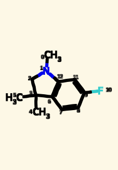 CN1CC(C)(C)c2ccc(F)cc21